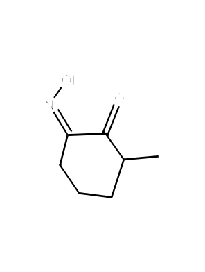 CC1CCC/C(=N/O)C1=O